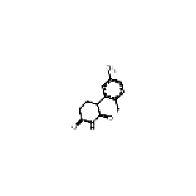 Cc1ccc(F)c(C2CCC(=O)NC2=O)c1